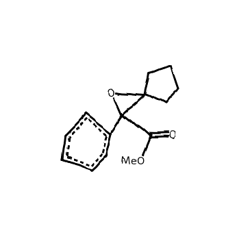 COC(=O)C1(c2ccccc2)OC12CCCC2